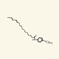 CCCCCCCCCCCCCCCC(=S)Nc1ccc(O)cc1